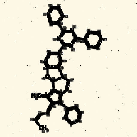 C=c1c2c(n(-c3ccccc3)/c1=C/C=C\C)C=CC1c3cc(-c4nc(-c5ccccc5)nc(-c5ccccc5)n4)ccc3OC21